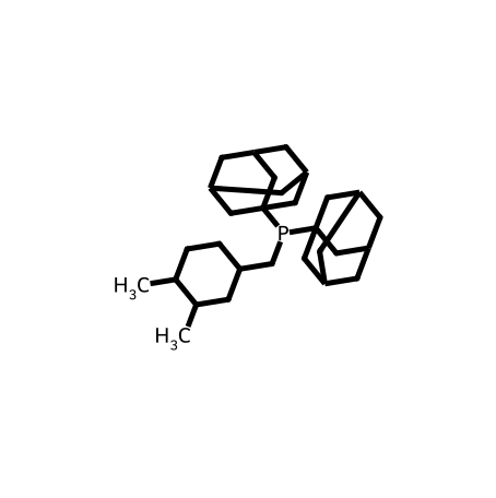 CC1CCC(CP(C23CC4CC(CC(C4)C2)C3)C23CC4CC(CC(C4)C2)C3)CC1C